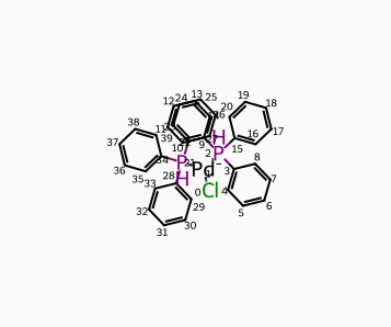 [Cl][Pd-]([PH](c1ccccc1)(c1ccccc1)c1ccccc1)[PH](c1ccccc1)(c1ccccc1)c1ccccc1